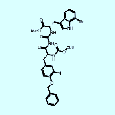 COC(=O)[C@H](Cc1c[nH]c2c(Br)cccc12)NC(=O)NC(=O)[C@H](Cc1ccc(OCc2ccccc2)c(I)c1)NC(=O)OC(C)(C)C